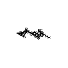 CCCCCc1ccc(-c2cc3ccc(OCCCC(F)(F)CCC[Si](C)(OCC)OCC)cc3oc2=O)c(C(F)(F)F)c1